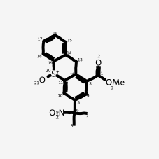 COC(=O)c1cc(C(C)(C)[N+](=O)[O-])cc2c1Cc1ccccc1[S+]2[O-]